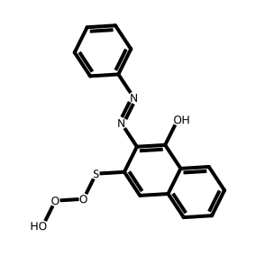 OOOSc1cc2ccccc2c(O)c1N=Nc1ccccc1